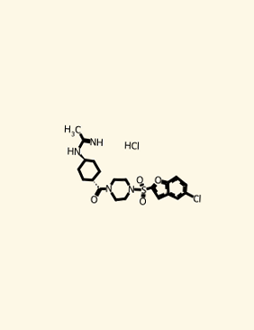 CC(=N)N[C@H]1CC[C@H](C(=O)N2CCN(S(=O)(=O)c3cc4cc(Cl)ccc4o3)CC2)CC1.Cl